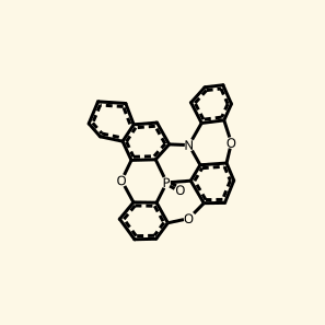 O=P12c3c4cccc3Oc3c1c(cc1ccccc31)N1c3ccccc3Oc3ccc(c2c31)O4